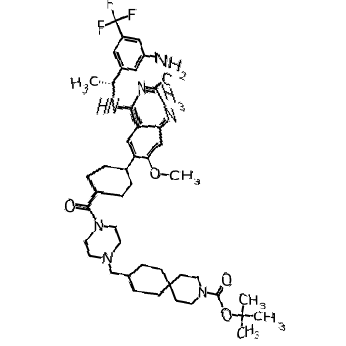 COc1cc2nc(C)nc(N[C@H](C)c3cc(N)cc(C(F)(F)F)c3)c2cc1C1CCC(C(=O)N2CCN(CC3CCC4(CC3)CCN(C(=O)OC(C)(C)C)CC4)CC2)CC1